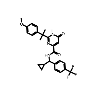 COc1ccc(C(C)(C)c2nc(C(=O)NC(c3ccc(C(F)(F)F)cc3)C3CC3)cc(=O)[nH]2)cc1